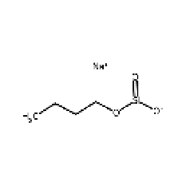 CCCCO[Si](=O)[O-].[Na+]